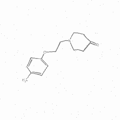 Cc1ccc(OCCN2CCC(=O)CC2)cc1